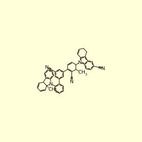 CC1C(C#N)=C(c2cc(C#N)cc(-c3ccccc3N3c4ccccc4C4C=CC=CC43C)c2)C=CC1n1c2c(c3cc(C#N)ccc31)CCC=C2